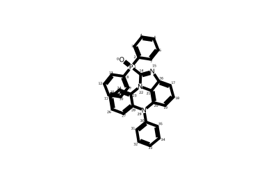 O=P(c1ccccc1)(c1ccccc1)c1nc2cccc3c2n1-c1ccccc1N3c1ccccc1